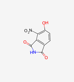 O=C1NC(=O)c2c1ccc(O)c2[N+](=O)[O-]